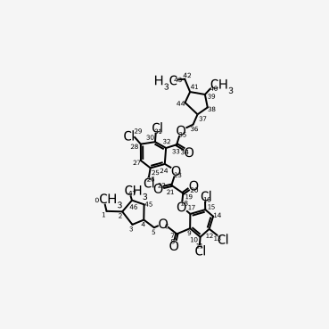 CCC1CC(COC(=O)c2c(Cl)c(Cl)cc(Cl)c2OC(=O)C(=O)Oc2c(Cl)cc(Cl)c(Cl)c2C(=O)OCC2CC(C)C(CC)C2)CC1C